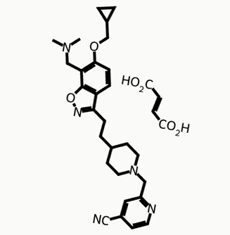 CN(C)Cc1c(OCC2CC2)ccc2c(CCC3CCN(Cc4cc(C#N)ccn4)CC3)noc12.O=C(O)C=CC(=O)O